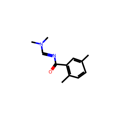 Cc1ccc(C)c(C(=O)N=CN(C)C)c1